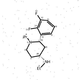 CCN[C@@H]1CCN(C(C)C)[C@H](c2cccc(F)c2F)C1